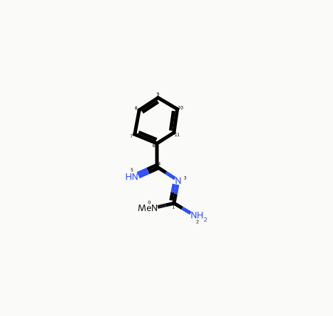 CN/C(N)=N\C(=N)c1ccccc1